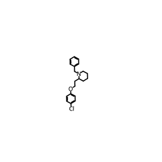 Clc1ccc(OCCC2CCCCN2Cc2ccccc2)cc1